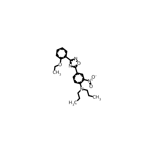 CCCN(CCC)c1ccc(-c2nc(-c3ccccc3OCC)no2)cc1[N+](=O)[O-]